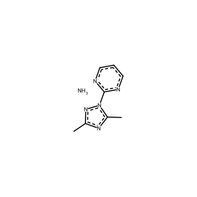 Cc1nc(C)n(-c2ncccn2)n1.N